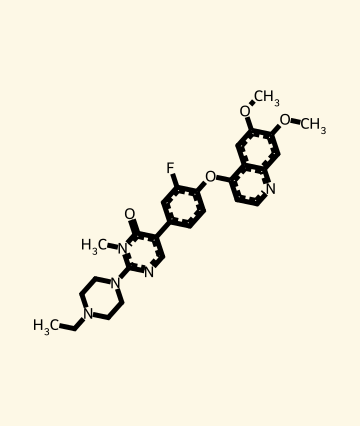 CCN1CCN(c2ncc(-c3ccc(Oc4ccnc5cc(OC)c(OC)cc45)c(F)c3)c(=O)n2C)CC1